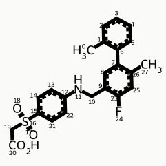 Cc1ccccc1-c1cc(CNc2ccc(S(=O)(=O)CC(=O)O)cc2)c(F)cc1C